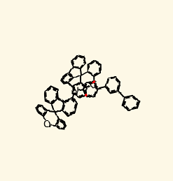 c1ccc(-c2cccc(-c3ccc(N(c4cccc5c4-c4ccccc4C54c5ccccc5Oc5ccccc54)c4cccc5c4C4(c6ccccc6Oc6ccccc64)c4ccccc4-5)cc3)c2)cc1